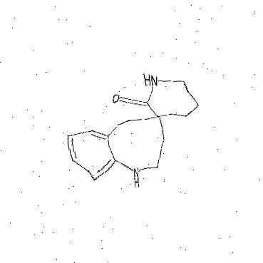 O=C1NCCCC12CCNc1ccccc1C2